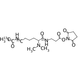 CN(C)C(CCC[13CH2]N[13C]([13CH3])=O)C(=O)[15NH]CCC(=O)ON1C(=O)CCC1=O